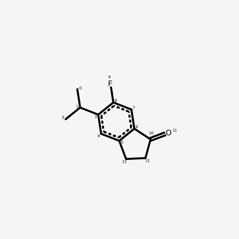 CC(C)c1cc2c(cc1F)C(=O)CC2